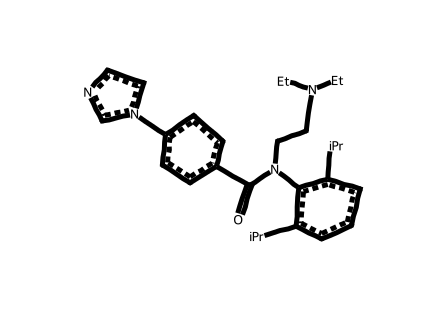 CCN(CC)CCN(C(=O)c1ccc(-n2ccnc2)cc1)c1c(C(C)C)cccc1C(C)C